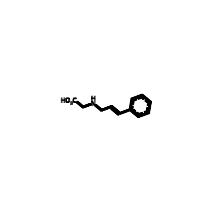 O=C(O)CNC/C=C/c1ccccc1